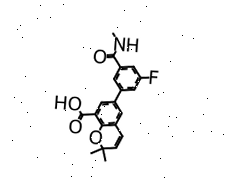 CNC(=O)c1cc(F)cc(-c2cc3c(c(C(=O)O)c2)OC(C)(C)C=C3)c1